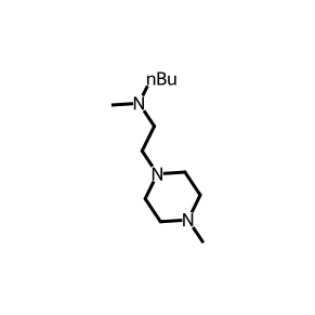 CCCCN(C)CCN1CCN(C)CC1